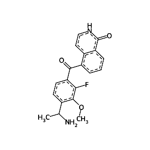 COc1c(C(C)N)ccc(C(=O)c2cccc3c(=O)[nH]ccc23)c1F